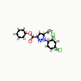 CC(C)c1cc(C(=O)Oc2ccccc2)nn1-c1ccc(Cl)cc1Cl